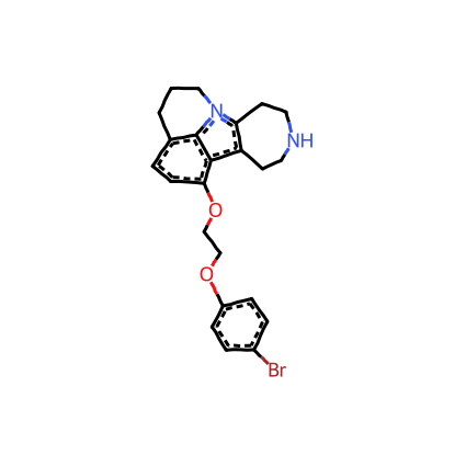 Brc1ccc(OCCOc2ccc3c4c2c2c(n4CCC3)CCNCC2)cc1